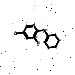 Clc1cnc(NC2=CCCCC2)c(Cl)c1